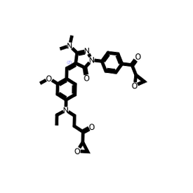 CCN(CCC(=O)C1CO1)c1ccc(/C=C2\C(=O)N(c3ccc(C(=O)C4CO4)cc3)N=C2N(C)C)c(OC)c1